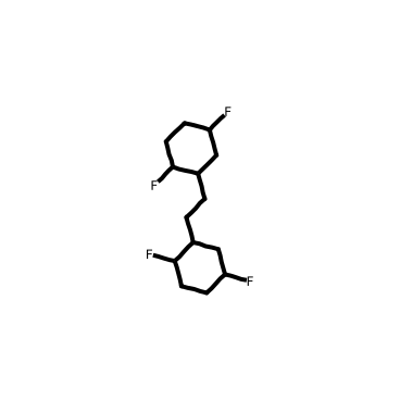 FC1CCC(F)C(CCC2CC(F)CCC2F)C1